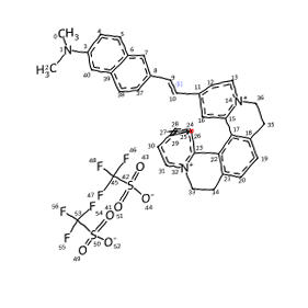 CN(C)c1ccc2cc(/C=C/c3cc[n+]4c(c3)-c3c(ccc5c3-c3c6ccccc6cc[n+]3CC5)CC4)ccc2c1.O=S(=O)([O-])C(F)(F)F.O=S(=O)([O-])C(F)(F)F